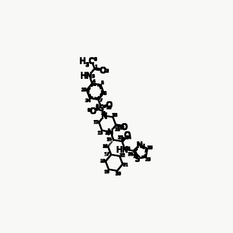 CC(=O)Nc1ccc(S(=O)(=O)N2CCN([C@@H](CC3CCCCC3)C(=O)Nc3nccs3)C(=O)C2)cc1